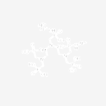 O=P(O)(O)CN(CCN(CP(=O)(O)O)CP(=O)(O)O)CCN(CP(=O)(O)O)CP(=O)(O)O.[Al+3].[Al+3].[Al+3]